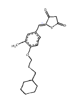 Cc1cc(/C=C2\SC(=O)CC2=O)ccc1OCCCC1CCCCC1